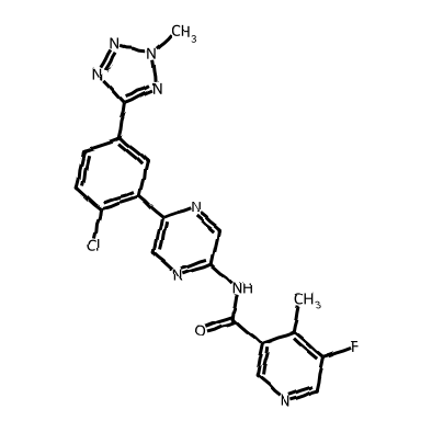 Cc1c(F)cncc1C(=O)Nc1cnc(-c2cc(-c3nnn(C)n3)ccc2Cl)cn1